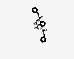 O=C(Nc1cccc(NC(=O)OCc2ccccc2)c1B(O)O)OCc1ccccc1